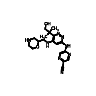 CC(C)(CO)c1nnc(Nc2cnc(C#N)cn2)cc1NCC1CNCCO1